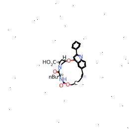 CCCC[C@@H]1NC(=O)OCCC/C=C\c2ccc3nc(-c4ccccc4)cc(c3c2)O[C@@H]2C[C@@H](C(=O)O)N(C2)C1=O